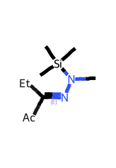 CC/C(=N\N(C)[Si](C)(C)C)C(C)=O